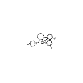 CN1CCN(CC2CCCC/C(=C/c3ccc(F)cc3)C2(O)Cc2cccc(F)c2)CC1